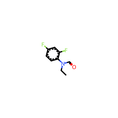 CCN(C=O)c1ccc(F)cc1F